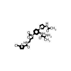 CC(=O)NC1CCN(c2ccc(N3CC(CNC(=O)c4ccc(Cl)s4)OC3=O)cc2NC(=O)C(C)N)C1